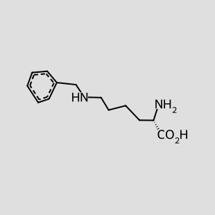 N[C@@H](CCCCNCc1ccccc1)C(=O)O